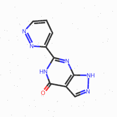 O=c1[nH]c(-c2cccnn2)nc2[nH]ncc12